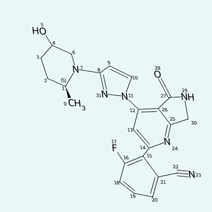 C[C@H]1CCC(O)CN1c1ccn(-c2cc(-c3c(F)cccc3C#N)nc3c2C(=O)NC3)n1